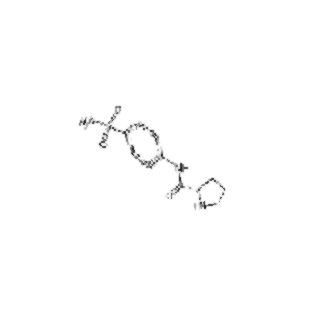 NS(=O)(=O)c1ccc(NC(=O)[C@@H]2CCCN2)cc1